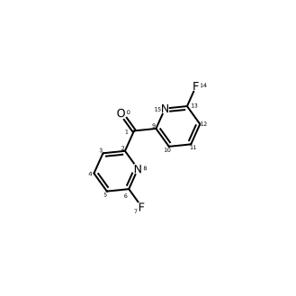 O=C(c1cccc(F)n1)c1cccc(F)n1